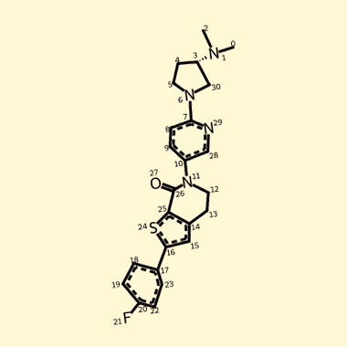 CN(C)[C@H]1CCN(c2ccc(N3CCc4cc(-c5ccc(F)cc5)sc4C3=O)cn2)C1